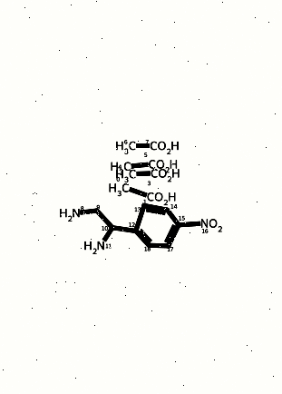 CC(=O)O.CC(=O)O.CC(=O)O.CC(=O)O.NCC(N)c1ccc([N+](=O)[O-])cc1